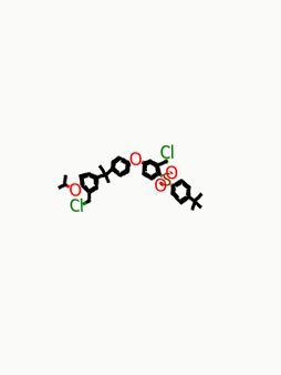 CC(C)Oc1ccc(C(C)(C)c2ccc(Oc3ccc(S(=O)(=O)c4ccc(C(C)(C)C)cc4)c(CCl)c3)cc2)cc1CCl